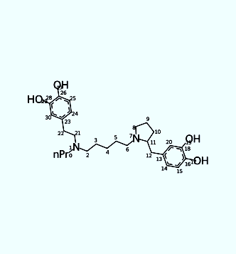 CCCN(CCCCCN1CCCC1Cc1ccc(O)c(O)c1)CCc1ccc(O)c(O)c1